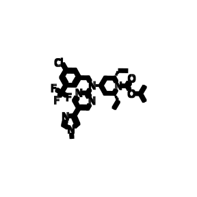 CC[C@@H]1C[C@H](N(Cc2cc(Cl)cc(C(F)(F)F)c2)c2ncc(-c3cn(C)cn3)cn2)C[C@H](CC)N1C(=O)OC(C)C